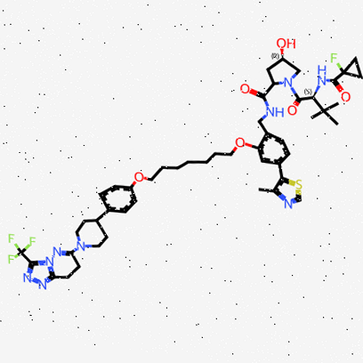 Cc1ncsc1-c1ccc(CNC(=O)C2C[C@@H](O)CN2C(=O)[C@@H](NC(=O)C2(F)CC2)C(C)(C)C)c(OCCCCCCCOc2ccc(C3CCN(C4=Nn5c(nnc5C(F)(F)F)CC4)CC3)cc2)c1